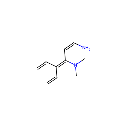 C=CC(C=C)=C(/C=C\N)N(C)C